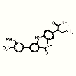 COc1cc(-c2ccc3c(c2)Nc2ccc(C(CN)C(N)=O)cc2NC3=O)ccc1[N+](=O)[O-]